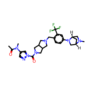 CC(=O)N(C)c1cnn(C(=O)N2CC3CN(Cc4ccc(N5C[C@@H]6C[C@H]5CN6C)cc4C(F)(F)F)CC3C2)c1